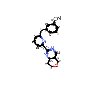 N#Cc1cccc(Cc2cccc(-c3ncc4c(n3)CCOC4)n2)c1